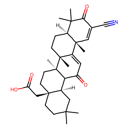 CC1(C)CC[C@]2(CC(=O)O)CC[C@]3(C)C(C(=O)C=C4[C@@]5(C)C=C(C#N)C(=O)C(C)(C)[C@@H]5CC[C@]43C)[C@H]2C1